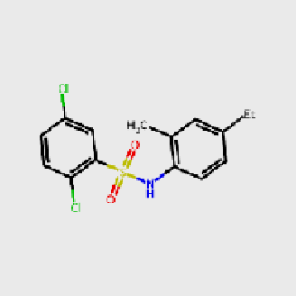 CCc1ccc(NS(=O)(=O)c2cc(Cl)ccc2Cl)c(C)c1